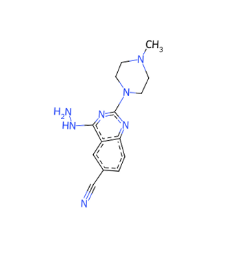 CN1CCN(c2nc(NN)c3cc(C#N)ccc3n2)CC1